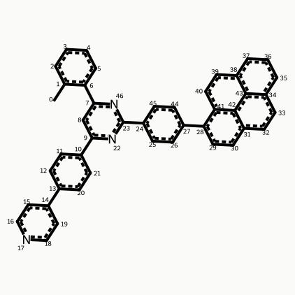 Cc1ccccc1-c1cc(-c2ccc(-c3ccncc3)cc2)nc(-c2ccc(-c3ccc4ccc5cccc6ccc3c4c56)cc2)n1